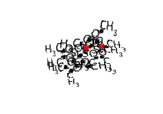 CCO[Si](OCC)(OCC)C(SSC([Si](OCC)(OCC)OCC)[Si](OCC)(OCC)OCC)[Si](OCC)(OCC)OCC